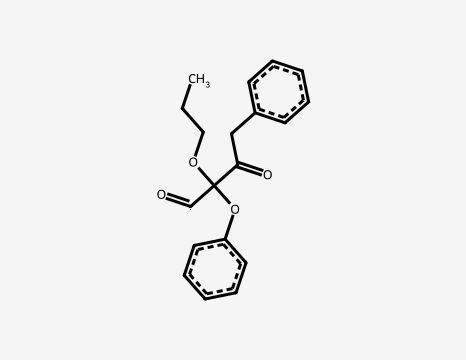 CCCOC([C]=O)(Oc1ccccc1)C(=O)Cc1ccccc1